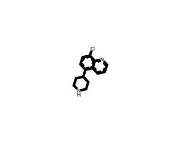 Clc1ccc(C2CCNCC2)c2cccnc12